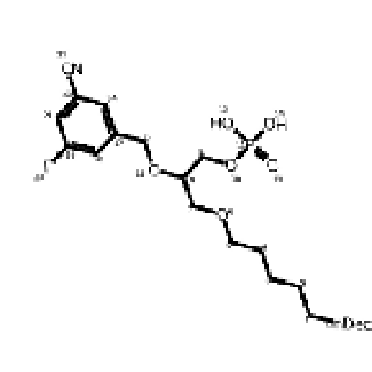 CCCCCCCCCCCCCCCOCC(COP(=O)(O)O)OCc1cc(F)cc(C#N)c1